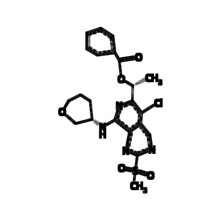 C[C@@H](OC(=O)c1ccccc1)c1nc(N[C@H]2CCCOC2)c2nc(S(C)(=O)=O)ncc2c1Cl